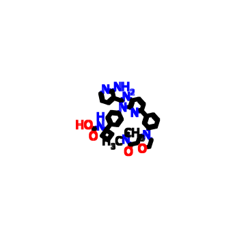 CN(C)C(=O)C1CN(c2cccc(-c3ccc4nc(-c5cccnc5N)n(-c5ccc(C6(NC(=O)O)CCC6)cc5)c4n3)c2)CCO1